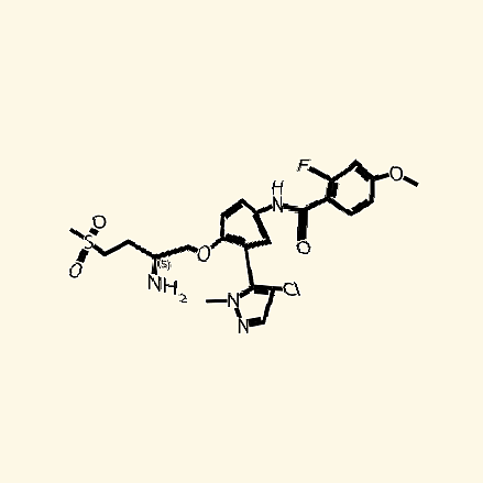 COc1ccc(C(=O)Nc2ccc(OC[C@@H](N)CCS(C)(=O)=O)c(-c3c(Cl)cnn3C)c2)c(F)c1